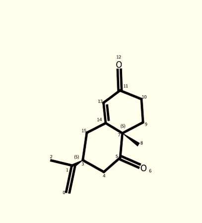 C=C(C)[C@@H]1CC(=O)[C@@]2(C)CCC(=O)C=C2C1